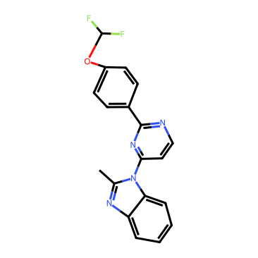 Cc1nc2ccccc2n1-c1ccnc(-c2ccc(OC(F)F)cc2)n1